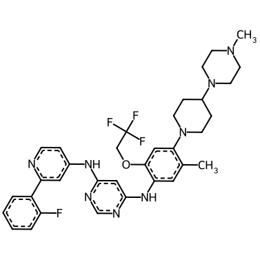 Cc1cc(Nc2cc(Nc3ccnc(-c4ccccc4F)c3)ncn2)c(OCC(F)(F)F)cc1N1CCC(N2CCN(C)CC2)CC1